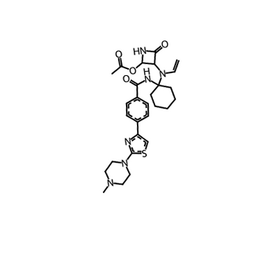 C=CN(C1C(=O)NC1OC(C)=O)C1(NC(=O)c2ccc(-c3csc(N4CCN(C)CC4)n3)cc2)CCCCC1